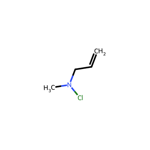 C=CCN(C)Cl